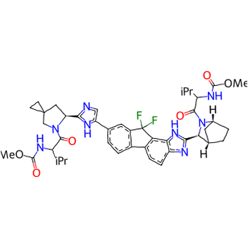 COC(=O)NC(C(=O)N1CC2(CC2)C[C@H]1c1ncc(-c2ccc3c(c2)C(F)(F)c2c-3ccc3nc([C@@H]4[C@H]5CC[C@H](C5)N4C(=O)C(NC(=O)OC)C(C)C)[nH]c23)[nH]1)C(C)C